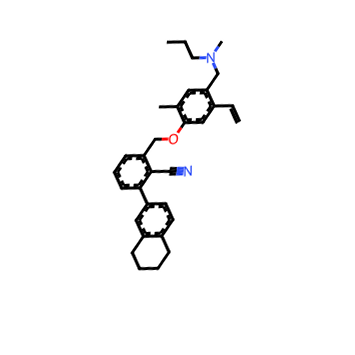 C=Cc1cc(OCc2cccc(-c3ccc4c(c3)CCCC4)c2C#N)c(C)cc1CN(C)CCC